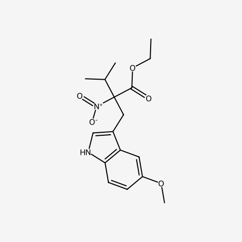 CCOC(=O)C(Cc1c[nH]c2ccc(OC)cc12)(C(C)C)[N+](=O)[O-]